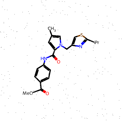 COC(=O)c1ccc(NC(=O)c2cc(C)cn2Cc2csc(C(C)C)n2)cc1